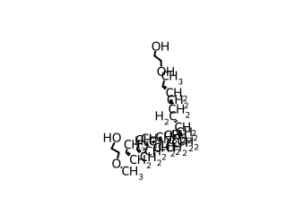 C=C.C=C.C=C.C=C.C=C.C=C.C=C.C=C.C=CC.C=CC.C=CC.COCCO.OCCO